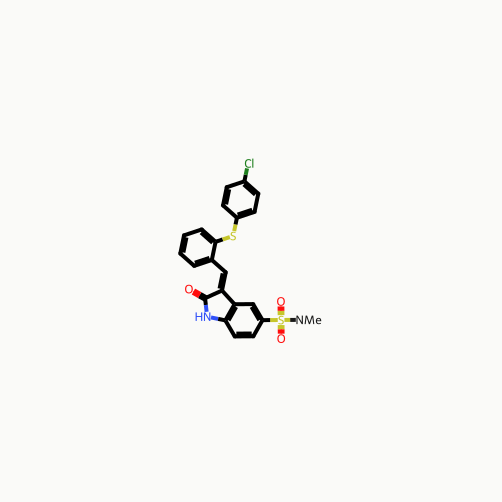 CNS(=O)(=O)c1ccc2c(c1)C(=Cc1ccccc1Sc1ccc(Cl)cc1)C(=O)N2